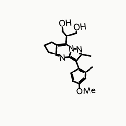 COc1ccc(-c2c(C)nn3c(C(CO)CO)c4c(nc23)CCC4)c(C)c1